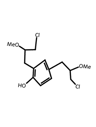 COC(CCl)Cc1ccc(O)c(CC(CCl)OC)c1